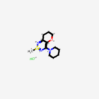 CS1=NC(N2CCCCC2)=C2OCCCC2=N1.Cl